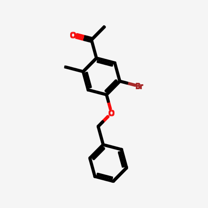 CC(=O)c1cc(Br)c(OCc2ccccc2)cc1C